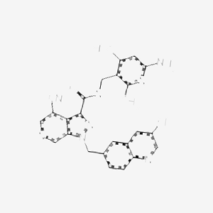 Cc1cc(N)nc(C)c1CNC(=O)c1nn(Cc2ccc3ncc(Cl)cc3c2)c2cncc(C#N)c12